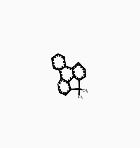 CC1(C)c2cccc3c4ccccc4c4nccc1c4c23